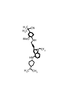 COc1cc(C(C)(C)C#N)ccc1NCC#Cc1cc2c(N[C@H]3CC[C@H](N(C)C)CC3)cccc2n1CC(F)(F)F